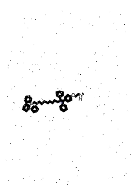 CNCCOc1ccc(/C(=C(/CCCCCCCCCC[PH](c2ccccc2)(c2ccccc2)c2ccccc2)c2ccccc2)c2ccccc2)cc1